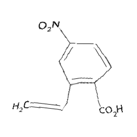 C=Cc1cc([N+](=O)[O-])ccc1C(=O)O